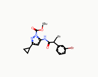 CC(C)C(C(=O)Nc1cc(C2CC2)nn1C(=O)OC(C)(C)C)c1cccc(Br)c1